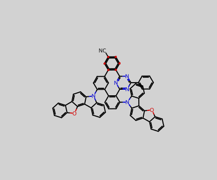 N#Cc1cccc(-c2ccc(-n3c4ccccc4c4c5oc6ccccc6c5ccc43)c(-c3cccc(-n4c5ccccc5c5c6oc7ccccc7c6ccc54)c3-c3nc(-c4ccccc4)nc(-c4ccccc4)n3)c2)c1